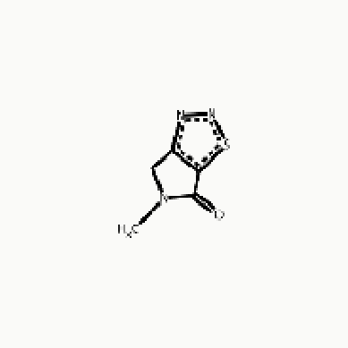 CN1Cc2nnsc2C1=O